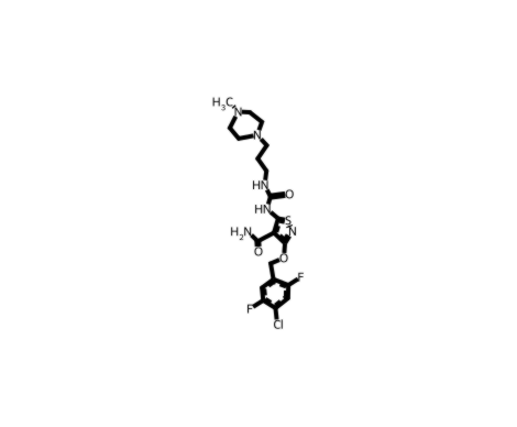 CN1CCN(CCCNC(=O)Nc2snc(OCc3cc(F)c(Cl)cc3F)c2C(N)=O)CC1